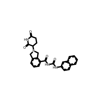 O=C1CCC(N2Cc3cccc(C(=O)NC(=O)Nc4ccc5ccccc5c4)c3C2)C(=O)N1